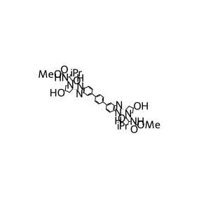 COC(=O)NC(C(=O)N1C[C@H](O)C[C@H]1c1nc2cc(-c3ccc(-c4ccc5[nH]c([C@@H]6C[C@@H](O)CN6C(=O)[C@@H](NC(=O)OC)C(C)C)nc5c4)cc3)ccc2[nH]1)C(C)C